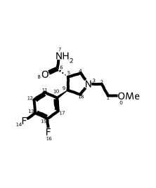 COCCN1C[C@@H](C(N)=O)[C@H](c2ccc(F)c(F)c2)C1